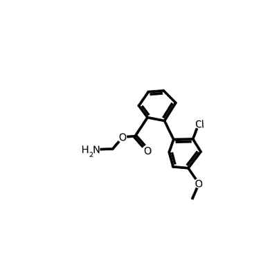 COc1ccc(-c2ccccc2C(=O)OCN)c(Cl)c1